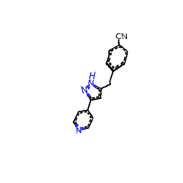 N#Cc1ccc(Cc2cc(-c3ccncc3)n[nH]2)cc1